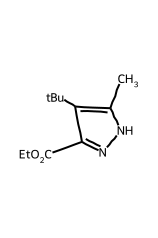 CCOC(=O)c1n[nH]c(C)c1C(C)(C)C